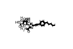 CCCCCc1ccc(C#Cc2nc(C(N)=O)n([C@@H]3O[C@H](C(O)O)C(O)(O)C3(O)O)n2)cc1